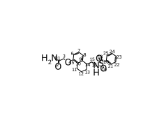 NC(=O)COc1cccc2c1CCCC2CNS(=O)(=O)c1ccccc1